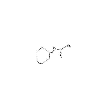 NC(=S)OC1CCCCC1